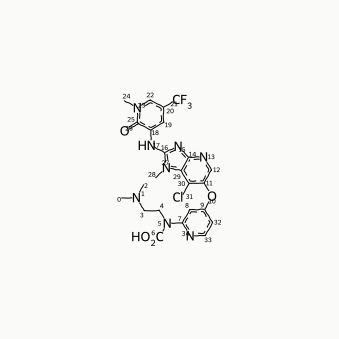 CN(C)CCN(C(=O)O)c1cc(Oc2cnc3nc(Nc4cc(C(F)(F)F)cn(C)c4=O)n(C)c3c2Cl)ccn1